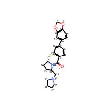 O=C(c1ccc(-c2ccc3c(c2)OCO3)cc1F)N1CCCC1CN1CCCC1